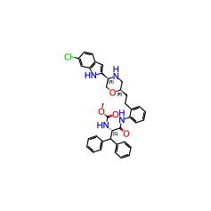 COC(=O)N[C@H](C(=O)Nc1ccccc1CC[C@@H]1CN[C@H](c2cc3ccc(Cl)cc3[nH]2)CO1)C(c1ccccc1)c1ccccc1